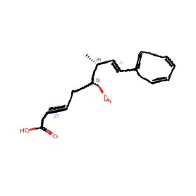 C[C@H](/C=C/c1ccccc1)[C@@H](O)C/C=C/C(=O)O